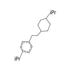 CC(C)c1ccc(CCC2CCC(C(C)C)CC2)cc1